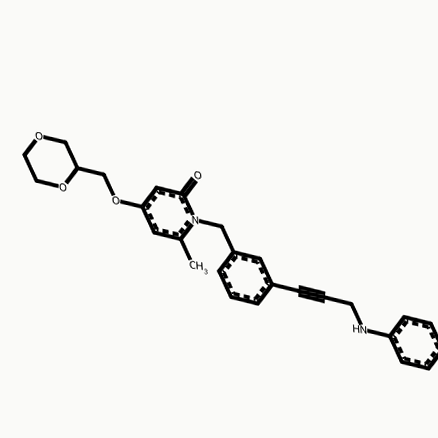 Cc1cc(OCC2COCCO2)cc(=O)n1Cc1cccc(C#CCNc2ccccc2)c1